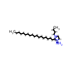 CCCCCCCCCCCCCCCCCCC1N(N)CCN1CCCC